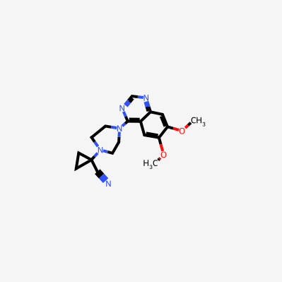 COc1cc2ncnc(N3CCN(C4(C#N)CC4)CC3)c2cc1OC